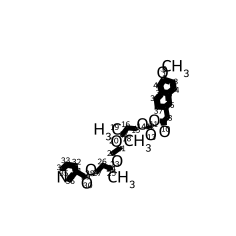 COc1ccc2cc(CC(=O)OC(=O)OCCC(C)(C)OCCOC(C)CCOC(=O)c3cccnc3)ccc2c1